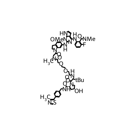 CNC(=O)c1c(F)cccc1Nc1nc(Nc2cc3c(cc2OC)CCN3C(=O)CN(C)C(=O)COCCOCC(=O)NC(C(=O)N2C[C@H](O)C[C@H]2C(=O)NCc2ccc(-c3scnc3C)cc2)C(C)(C)C)nc2[nH]ccc12